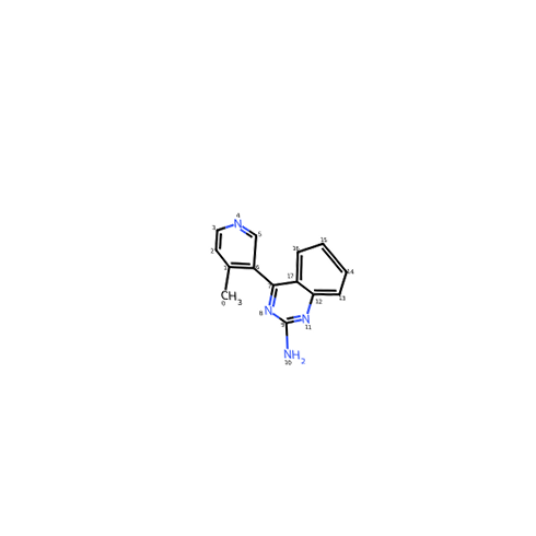 Cc1ccncc1-c1nc(N)nc2ccccc12